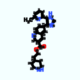 Cc1cccc(-c2[nH]cnc2-c2ccc3ncc(C(=O)OCCC4CCNCC4)cc3c2)n1